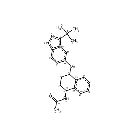 CC(C)(C)c1nnc2ccc(OC3CC[C@H](NC(N)=O)c4ccccc43)cn12